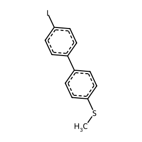 CSc1ccc(-c2ccc(I)cc2)cc1